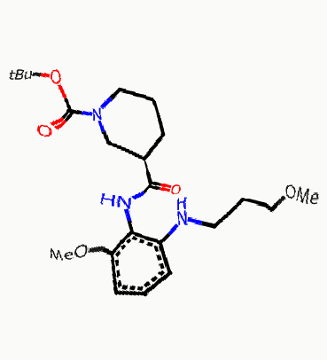 COCCCNc1cccc(OC)c1NC(=O)[C@@H]1CCCN(C(=O)OC(C)(C)C)C1